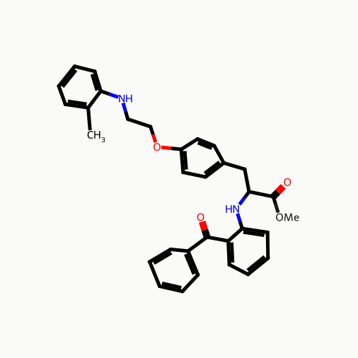 COC(=O)C(Cc1ccc(OCCNc2ccccc2C)cc1)Nc1ccccc1C(=O)c1ccccc1